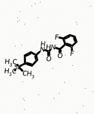 C[Si](C)(C)c1ccc(NC(=O)NC(=O)c2c(F)cccc2F)cc1